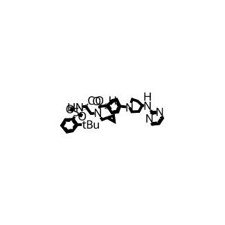 CC(C)(C)c1ccccc1S(=O)(=O)N[C@@H](CN(CC1CC1)C(=O)c1ccc(N2CCC(Nc3ncccn3)CC2)cc1)C(=O)O